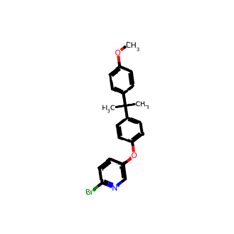 COc1ccc(C(C)(C)c2ccc(Oc3ccc(Br)nc3)cc2)cc1